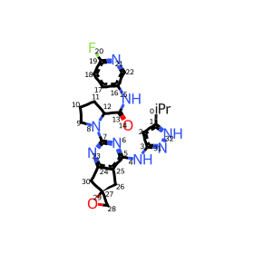 CC(C)c1cc(Nc2nc(N3CCCC3C(=O)Nc3ccc(F)nc3)nc3c2C[C@]2(CO2)C3)n[nH]1